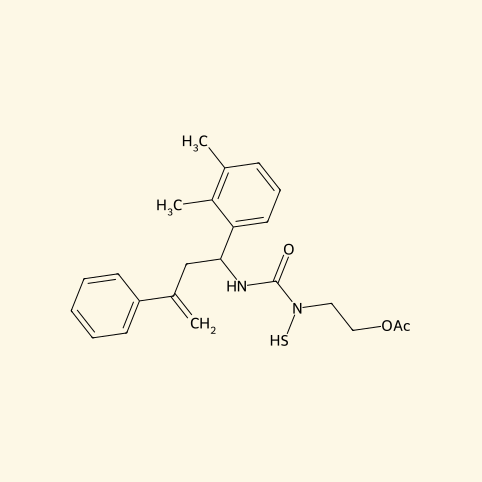 C=C(CC(NC(=O)N(S)CCOC(C)=O)c1cccc(C)c1C)c1ccccc1